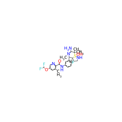 Cc1cc(OC(F)F)cnc1C(=O)Nc1ccc(F)c([C@@]2(C)N=C(N)C(C)(C)S3(O)NCC[C@@H]23)c1